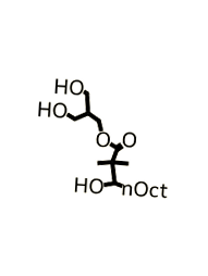 CCCCCCCCC(O)C(C)(C)C(=O)OCC(CO)CO